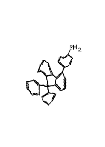 Bc1ccc(-c2cccc3c2-c2ccccc2C3(c2ccccc2)c2ccccc2)cc1